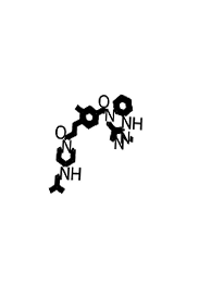 Cc1cc(C(=O)N2Cc3cnn(C)c3Nc3ccccc32)ccc1CCC(=O)N1CCC(NCC(C)C)CC1